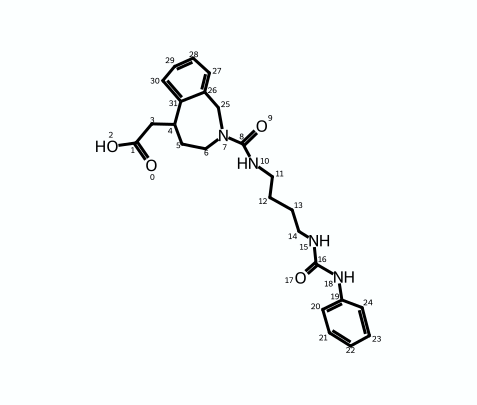 O=C(O)CC1CCN(C(=O)NCCCCNC(=O)Nc2ccccc2)Cc2ccccc21